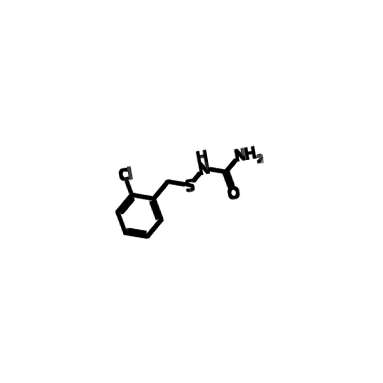 NC(=O)NSCc1ccccc1Cl